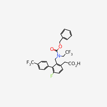 O=C(O)Cc1ccc(F)c(-c2ccc(C(F)(F)F)cc2)c1CN(CC(F)(F)F)C(=O)OCc1ccccc1